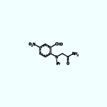 CC(C)N(CC(N)=O)c1ccc([N+](=O)[O-])cc1C=O